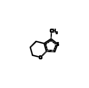 Cc1scc2c1CCCO2